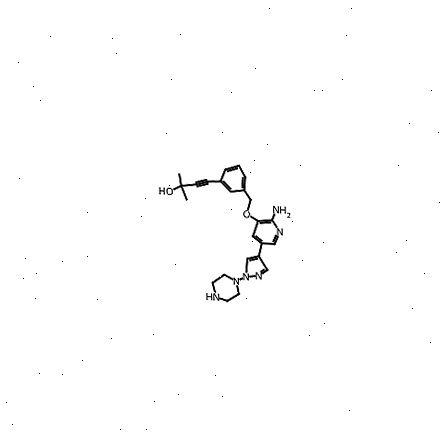 CC(C)(O)C#Cc1cccc(COc2cc(-c3cnn(N4CCNCC4)c3)cnc2N)c1